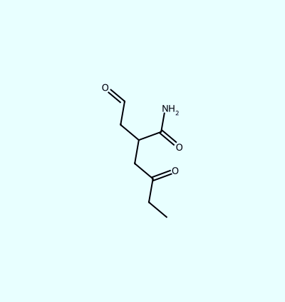 CCC(=O)CC(CC=O)C(N)=O